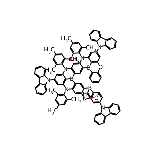 Cc1cc(C)c(N2c3cc4c(cc3B3c5ccccc5Oc5cc(-n6c7ccccc7c7ccccc76)cc2c53)B2c3cc5c(cc3N(c3c(C)cc(C)cc3C)c3cc(-n6c7ccccc7c7ccccc76)cc(c32)N4c2c(C)cc(C)cc2C)Nc2cc(-n3c4ccccc4c4ccccc43)cc3c2B5c2ccccc2O3)c(C)c1